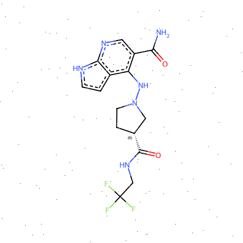 NC(=O)c1cnc2[nH]ccc2c1NN1CC[C@@H](C(=O)NCC(F)(F)F)C1